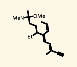 C#C/C(C)=C/C=C(\C=C/C)C(CC)CCC(C)(NC)OC